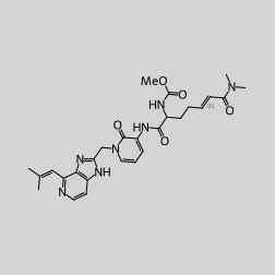 COC(=O)NC(CC/C=C/C(=O)N(C)C)C(=O)Nc1cccn(Cc2nc3c(C=C(C)C)nccc3[nH]2)c1=O